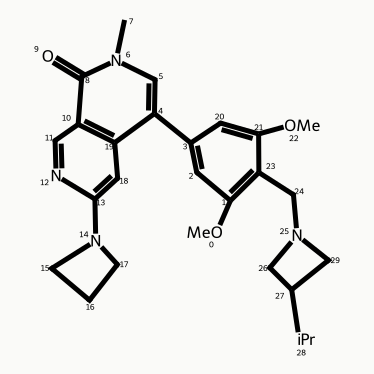 COc1cc(-c2cn(C)c(=O)c3cnc(N4CCC4)cc23)cc(OC)c1CN1CC(C(C)C)C1